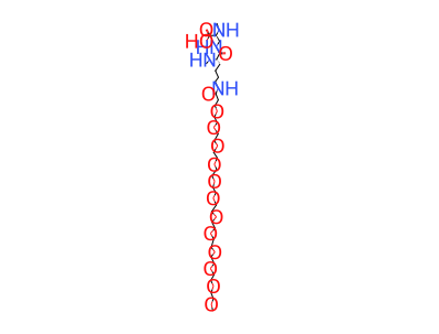 CN[C@@H](CNC(=O)[C@H](CCCCNC(=O)CCOCCOCCOCCOCCOCCOCCOCCOCCOCCOCCOCCOC)NC)C(=O)O